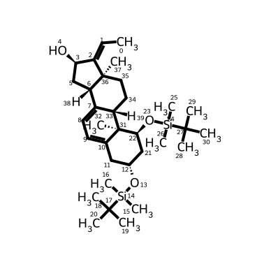 C/C=C1/[C@H](O)C[C@H]2C3=CC=C4C[C@@H](O[Si](C)(C)C(C)(C)C)C[C@H](O[Si](C)(C)C(C)(C)C)[C@]4(C)[C@H]3CC[C@]12C